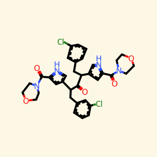 O=C(C(Cc1cccc(Cl)c1)c1c[nH]c(C(=O)N2CCOCC2)c1)C(Cc1cccc(Cl)c1)c1c[nH]c(C(=O)N2CCOCC2)c1